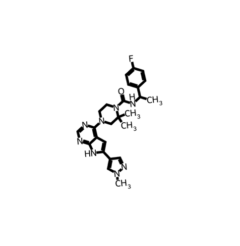 CC(NC(=O)N1CCN(c2ncnc3[nH]c(-c4cnn(C)c4)cc23)CC1(C)C)c1ccc(F)cc1